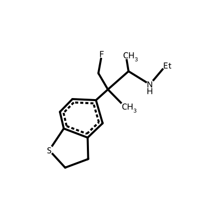 CCNC(C)C(C)(CF)c1ccc2c(c1)CCS2